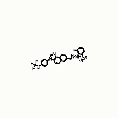 Cc1cccc([S+](C)[O-])c1N/N=C/c1ccc2c(ccc3c2ncn3-c2ccc(OC(F)(F)F)cc2)c1